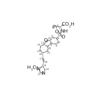 CC(C)[C@H](NS(=O)(=O)c1ccc2c(c1)oc1ccc(C#Cc3cncn3C)cc12)C(=O)O